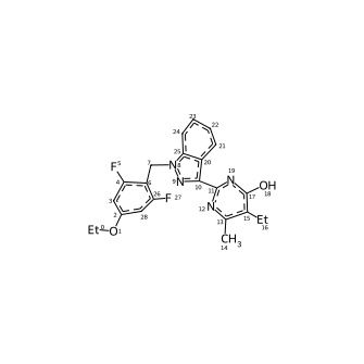 CCOc1cc(F)c(Cn2nc(-c3nc(C)c(CC)c(O)n3)c3ccccc32)c(F)c1